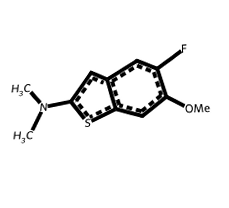 COc1cc2sc(N(C)C)cc2cc1F